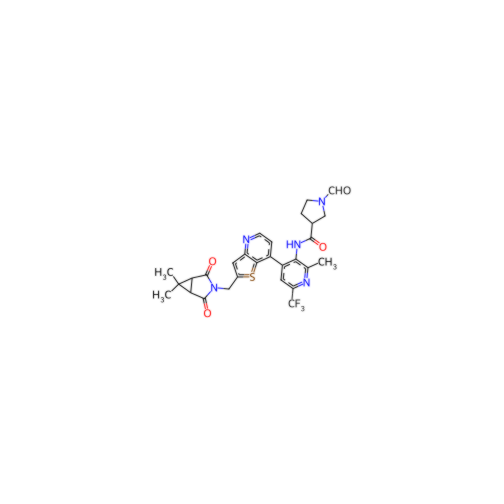 Cc1nc(C(F)(F)F)cc(-c2ccnc3cc(CN4C(=O)C5C(C4=O)C5(C)C)sc23)c1NC(=O)C1CCN(C=O)C1